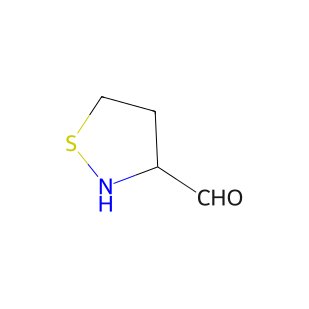 O=CC1CCSN1